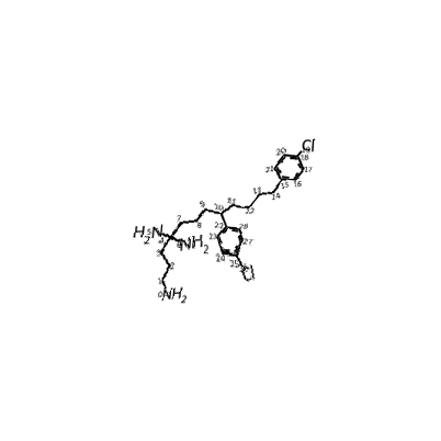 NCCCC(N)(N)CCCC(CCCCc1ccc(Cl)cc1)c1ccc(Cl)cc1